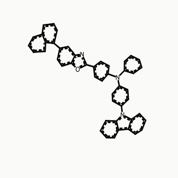 c1ccc(N(c2ccc(-c3nc4cc(-c5cccc6ccccc56)ccc4o3)cc2)c2ccc(-n3c4ccccc4c4ccccc43)cc2)cc1